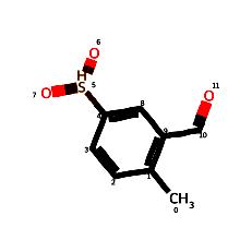 Cc1ccc([SH](=O)=O)cc1C=O